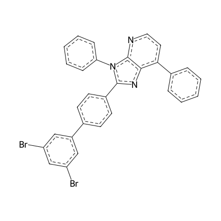 Brc1cc(Br)cc(-c2ccc(-c3nc4c(-c5ccccc5)ccnc4n3-c3ccccc3)cc2)c1